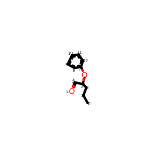 CCCC([C]=O)Oc1ccccc1